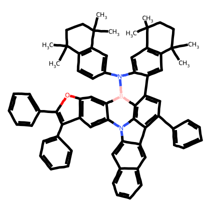 CC1(C)CCC(C)(C)c2cc(N3B4c5cc6oc(-c7ccccc7)c(-c7ccccc7)c6cc5-n5c6cc7ccccc7cc6c6c(-c7ccccc7)cc(c4c65)-c4cc5c(cc43)C(C)(C)CCC5(C)C)ccc21